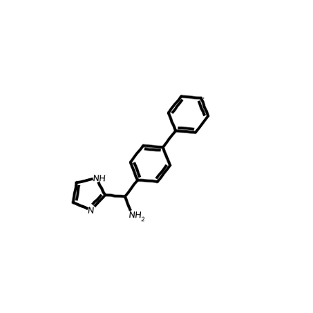 NC(c1ccc(-c2cc[c]cc2)cc1)c1ncc[nH]1